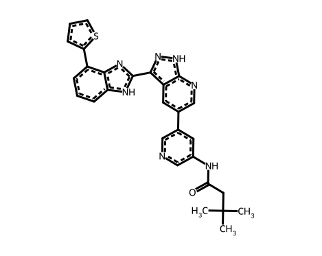 CC(C)(C)CC(=O)Nc1cncc(-c2cnc3[nH]nc(-c4nc5c(-c6cccs6)cccc5[nH]4)c3c2)c1